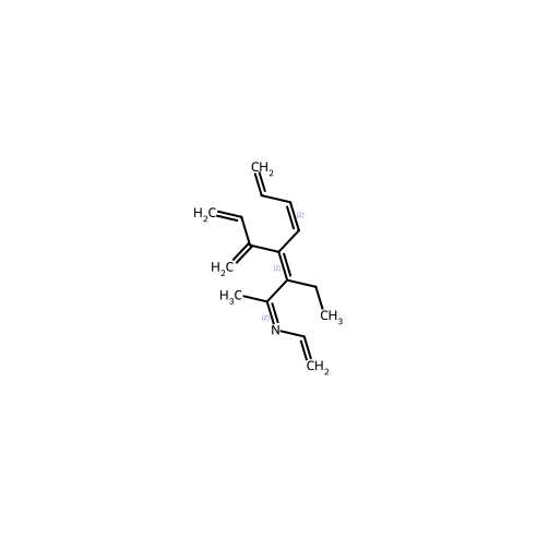 C=C\C=C/C(C(=C)C=C)=C(CC)/C(C)=N\C=C